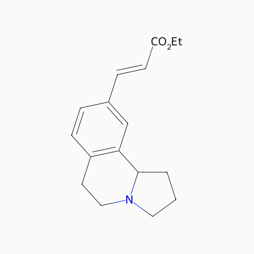 CCOC(=O)C=Cc1ccc2c(c1)C1CCCN1CC2